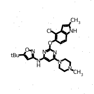 Cc1cc2c(Cl)c(Oc3nc(Nc4cc(C(C)(C)C)on4)cc(N4CCN(C)CC4)n3)ccc2[nH]1